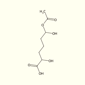 CC(=O)OC(O)CCCC(O)C(=O)O